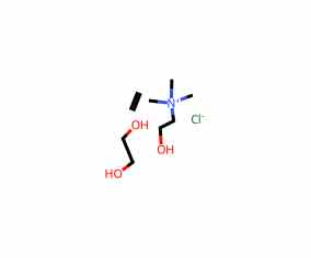 C=C.C[N+](C)(C)CCO.OCCO.[Cl-]